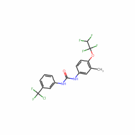 Cc1cc(NC(=O)Nc2cccc(C(F)(F)Cl)c2)ccc1OC(F)(F)C(F)F